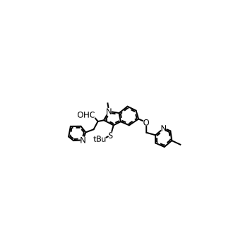 Cc1ccc(COc2ccc3c(c2)c(SC(C)(C)C)c(C(C=O)Cc2ccccn2)n3C)nc1